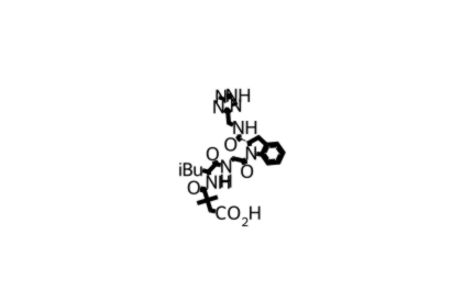 CCC(C)C(NC(=O)C(C)(C)CC(=O)O)C(=O)NCC(=O)N1c2ccccc2C[C@H]1C(=O)NCc1nn[nH]n1